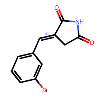 O=C1C/C(=C\c2cccc(Br)c2)C(=O)N1